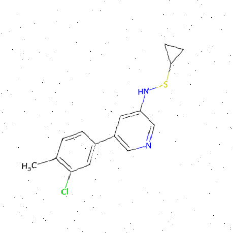 Cc1ccc(-c2cncc(NSC3CC3)c2)cc1Cl